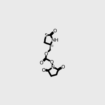 O=C(OC[C@H]1CSC(=O)N1)ON1C(=O)CCC1=O